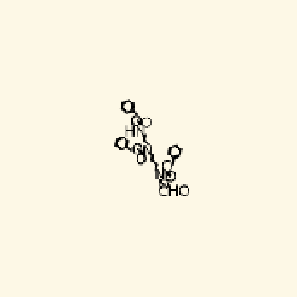 O=COCN(CCCCN(CCCNC(=O)OCc1ccccc1)C(=O)OCc1ccccc1)C(=O)OCc1ccccc1